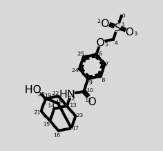 CS(=O)(=O)COc1ccc(C(=O)NC23CC4CC(CC(O)(C4)C2)C3)cc1